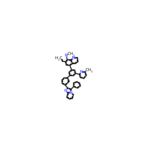 C=Cc1cc(-c2cc(-c3cccc(-c4nc5ccccn5c4-c4ccccc4)c3)cc(-c3cccc(C)n3)c2)c2cccnc2c1N=C